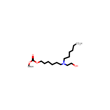 CCCCCCCCCOC(=O)OCCCCCCN(CCO)CCCCCC(=O)O